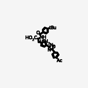 C=C(/C=C\C(=C/C)c1noc(-c2ccc(C(C)=O)cc2)n1)C[C@H](NC(=O)c1ccc(C(C)(C)C)cc1)C(=O)O